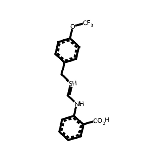 O=C(O)c1ccccc1NC=[SH]Cc1ccc(OC(F)(F)F)cc1